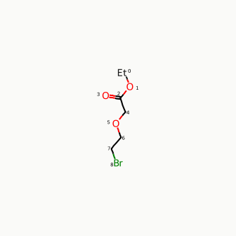 CCOC(=O)COCCBr